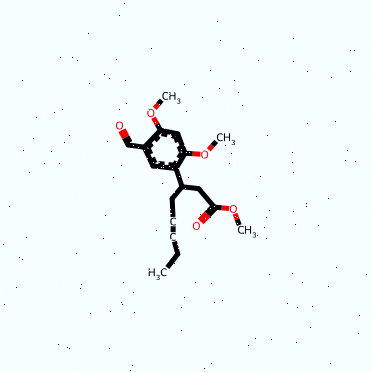 CCCCCC(CC(=O)OC)c1cc(C=O)c(OC)cc1OC